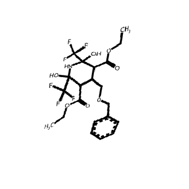 CCOC(=O)C1C(COCc2ccccc2)C(C(=O)OCC)C(O)(C(F)(F)F)NC1(O)C(F)(F)F